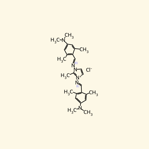 Cc1cc(N(C)C)cc(C)c1/C=N/n1cc[n+](/N=C/c2c(C)cc(N(C)C)cc2C)c1C.[Cl-]